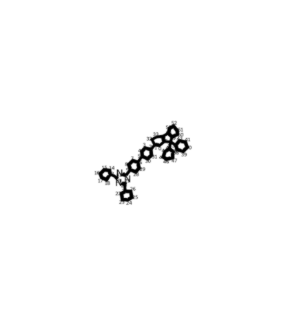 C1=C(c2ccc(-c3ccc(-c4nc(-c5ccccc5)nc(-c5ccccc5)n4)cc3)cc2)CCC2=C1C(c1ccccc1)(c1ccccc1)c1ccccc12